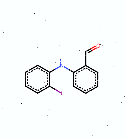 O=Cc1ccccc1Nc1ccccc1I